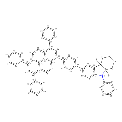 CC12CCCCC1(C)N(c1ccccc1)c1ccc(-c3ccc(-c4cc(-c5ccccc5)c5ccc6c(-c7ccccc7)cc(-c7ccccc7)c7ccc4c5c67)cc3)cc12